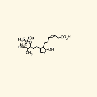 CCCCC(C)[C@H](CCC1=CC[C@H](O)[C@@H]1CCC=C=CCC(=O)O)O[Si](C)(C)C(C)(C)C